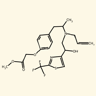 C=CCN(CC(O)c1csc(C(F)(F)F)n1)C(C)Cc1ccc(OCC(=O)OC)cc1